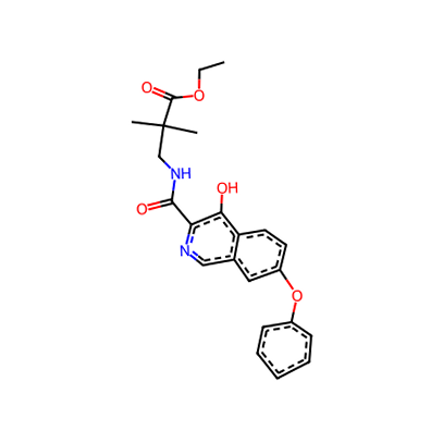 CCOC(=O)C(C)(C)CNC(=O)c1ncc2cc(Oc3ccccc3)ccc2c1O